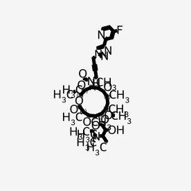 CCO[C@@H](O[C@@H]1[C@@H](C)C(=O)[C@@H](C)C(=O)O[C@H](CC)[C@@]2(C)OC(=O)N(CC#CCn3cc(-c4cc(F)ccn4)nn3)[C@@H]2[C@@H](C)C(=O)[C@H](C)C[C@@]1(C)OC)C(O)C(CC)N(C)C